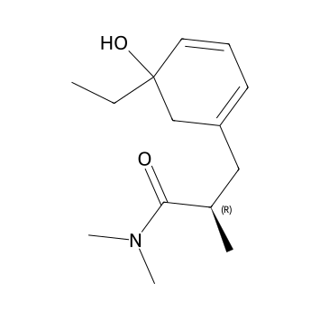 CCC1(O)C=CC=C(C[C@@H](C)C(=O)N(C)C)C1